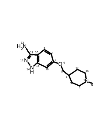 CN1CCC(COc2ccc3c(N)n[nH]c3c2)CC1